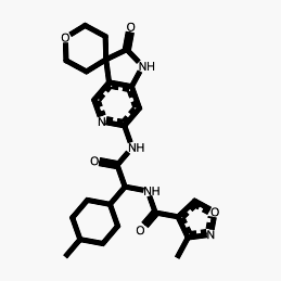 Cc1nocc1C(=O)NC(C(=O)Nc1cc2c(cn1)C1(CCOCC1)C(=O)N2)C1CCC(C)CC1